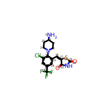 NC1CCN(c2c(Cl)cc(C(F)(F)F)cc2C=C2SC(=O)NC2=O)CC1